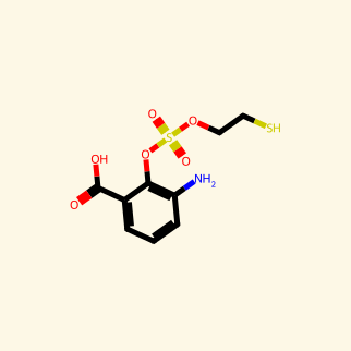 Nc1cccc(C(=O)O)c1OS(=O)(=O)OCCS